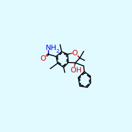 Cc1c(C)c2c(c(C)c1C(N)=O)OC(C)(C)C2(O)Cc1ccccc1